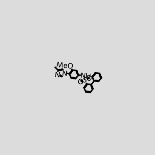 COc1cc(NS(=O)(=O)c2ccccc2-c2ccccc2)ccc1-n1cnc(C)c1